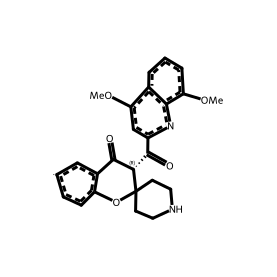 COc1cc(C(=O)[C@H]2C(=O)c3c[c]ccc3OC23CCNCC3)nc2c(OC)cccc12